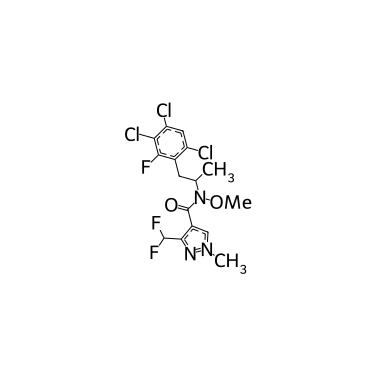 CON(C(=O)c1cn(C)nc1C(F)F)C(C)Cc1c(Cl)cc(Cl)c(Cl)c1F